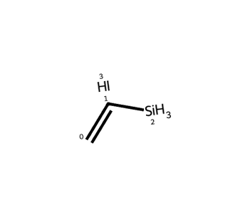 C=C[SiH3].I